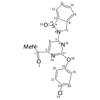 CNC(=O)c1cc(N2Cc3ccccc3[S+]2[O-])nc(Oc2ccc(Cl)cc2)n1